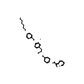 CCCCCCCOc1ccc(C(=O)Oc2ccc(CC(NC(=O)c3ccc(NC(=O)c4cnn5ccccc45)cc3)C(C)=O)cc2OC)cc1